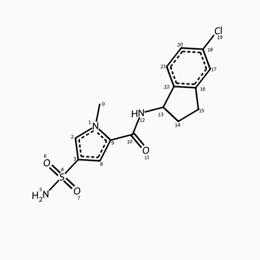 Cn1cc(S(N)(=O)=O)cc1C(=O)NC1CCc2cc(Cl)ccc21